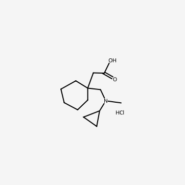 CN(CC1(CC(=O)O)CCCCC1)C1CC1.Cl